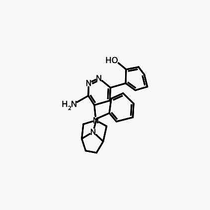 Nc1nnc(-c2ccccc2O)cc1N1CC2CCC(C1)N2Cc1ccccc1